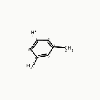 Cc1[c]ccc(C)c1.[H+]